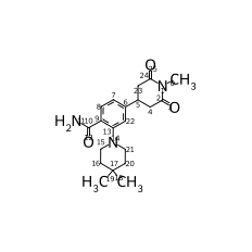 CN1C(=O)CC(c2ccc(C(N)=O)c(N3CCC(C)(C)CC3)c2)CC1=O